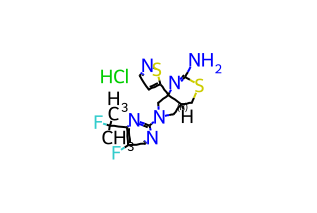 CC(C)(F)c1nc(N2C[C@H]3CSC(N)=NC3(c3ccns3)C2)ncc1F.Cl